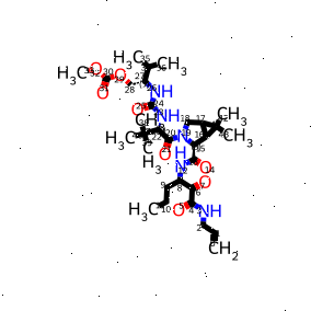 C=CCNC(=O)C(=O)C(CCC)NC(=O)[C@@H]1C2C(CN1C(=O)[C@@H](NC(=O)N[C@H](COC(=O)OC)C(C)C)C(C)(C)C)C2(C)C